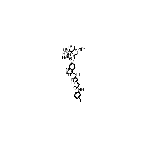 CCCN(CCCOc1ccc2c(Nc3cc(CC(=O)Nc4cccc(F)c4)[nH]n3)ncnc2c1)C(C(OP(=O)(O)O)C(C)(C)C)C(C)(C)C